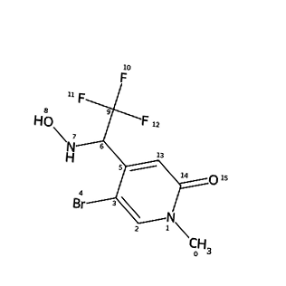 Cn1cc(Br)c(C(NO)C(F)(F)F)cc1=O